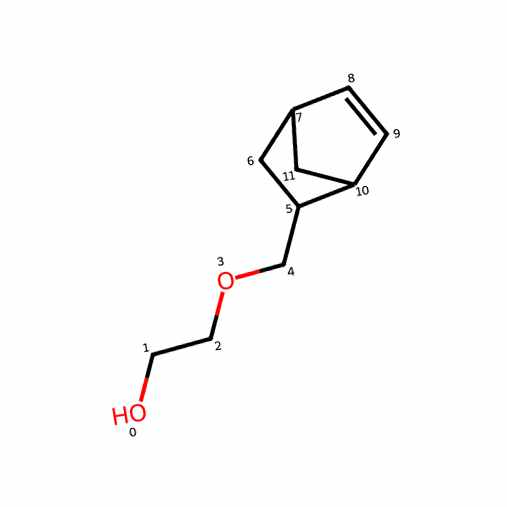 OCCOCC1CC2C=CC1C2